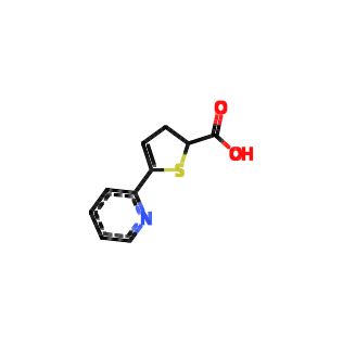 O=C(O)C1CC=C(c2ccccn2)S1